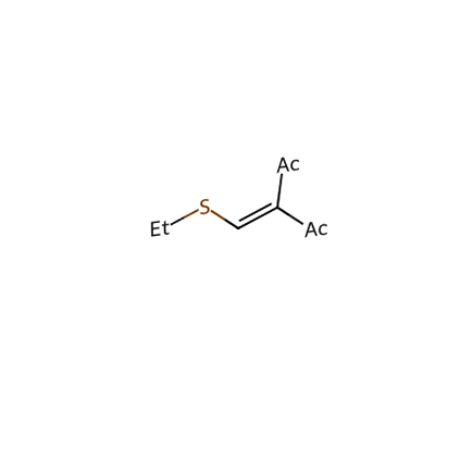 CCSC=C(C(C)=O)C(C)=O